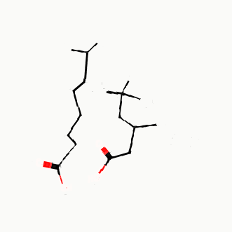 CC(C)CCCCCC(=O)O.CC(CC(=O)O)CC(C)(C)C.[Zn+2].[Zn+2]